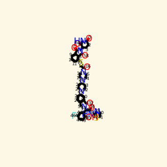 O=C1CCC(N2C(=O)c3cccc(SCC(=O)N4CCN(C5CCN(c6ccc7c(c6)C(=O)N(C(C(=O)Nc6nccs6)c6cc(F)ccc6O)C7)CC5)CC4)c3C2=O)C(=O)N1